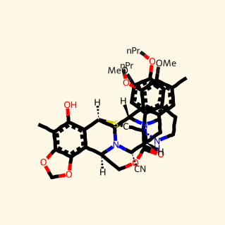 CCCOc1cc2c(cc1OC)[C@@]1(CS[C@@H]3c4c(O)c(C)c5c(c4[C@H](COC1=O)N1C3[C@@H]3c4c(cc(C)c(OC)c4OCCC)C[C@H]([C@@H]1C#N)N3C)OCO5)NCC2